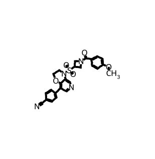 COc1ccc(C(=O)N2CC(S(=O)(=O)N3CCOc4c(-c5ccc(C#N)cc5)cncc43)C2)cc1